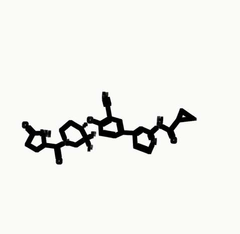 N#Cc1cc(-c2ccnc(NC(=O)C3CC3)c2)ccc1O[C@H]1CCN(C(=O)C2CCC(=O)N2)CC1(F)F